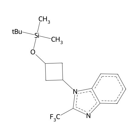 CC(C)(C)[Si](C)(C)OC1CC(n2c(C(F)(F)F)nc3ccccc32)C1